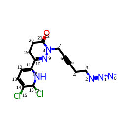 [N-]=[N+]=NCCC#CCN1N=C(C2=CC=C(Cl)C(Cl)N2)CCC1=O